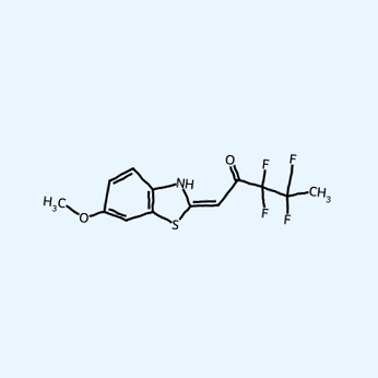 COc1ccc2c(c1)S/C(=C/C(=O)C(F)(F)C(C)(F)F)N2